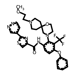 COCCN1CCC2(CC1)CN(c1c(NC(=O)c3csc(-c4ccnnc4)n3)ccc(Oc3ccccc3)c1C(F)(F)F)CCO2